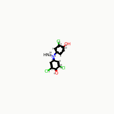 O=C1C(Cl)=CC(=Nc2ccc(O)c(Cl)c2)C=C1Cl.[NaH]